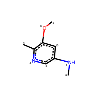 CNc1cnc(C)c(OC)c1